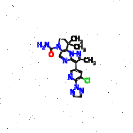 Cc1nn2c3c(cnc2c1-c1cnc(-n2nccn2)c(Cl)c1)N(C(N)=O)CCC3(C)C